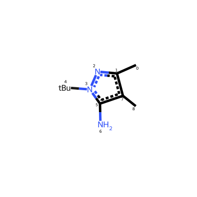 Cc1nn(C(C)(C)C)c(N)c1C